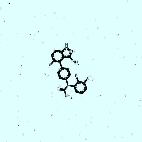 NC(=O)N(c1ccc(-c2c(F)ccc3[nH]nc(N)c23)cc1)c1cccc(C(F)(F)F)c1F